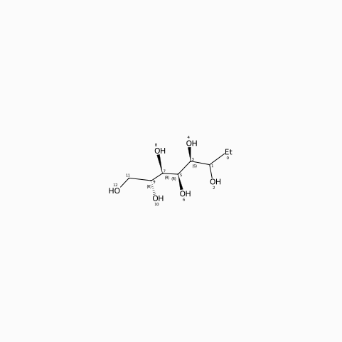 CCC(O)[C@H](O)[C@@H](O)[C@H](O)[C@H](O)CO